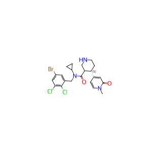 Cn1ccc([C@H]2CCNCC2C(=O)N(Cc2cc(Br)cc(Cl)c2Cl)C2CC2)cc1=O